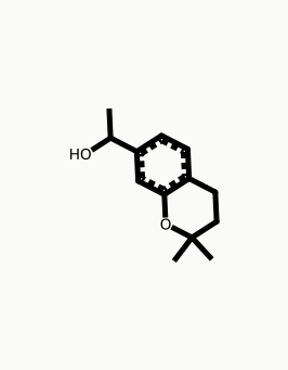 CC(O)c1ccc2c(c1)OC(C)(C)CC2